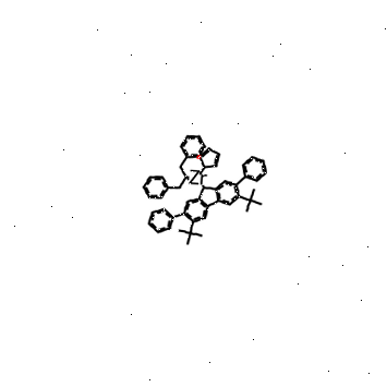 CC(C)(C)c1cc2c(cc1-c1ccccc1)[CH]([Zr](=[C](Cc1ccccc1)Cc1ccccc1)[CH]1C=CC=C1)c1cc(-c3ccccc3)c(C(C)(C)C)cc1-2